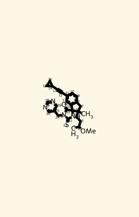 COC(C)CCC1(C)Cc2ccc(C#CC3CC3)cc2C12NC(=S)N(Cc1cncnc1)C2=O